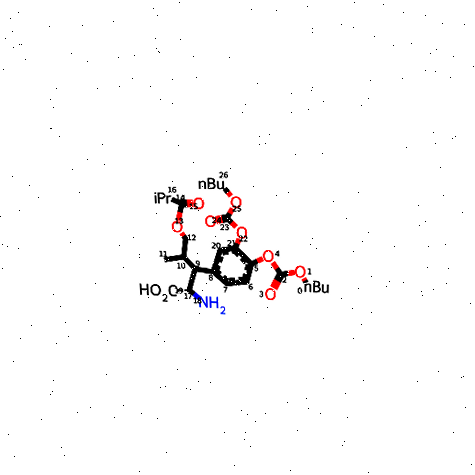 CCCCOC(=O)Oc1ccc(C(C(C)COC(=O)C(C)C)[C@H](N)C(=O)O)cc1OC(=O)OCCCC